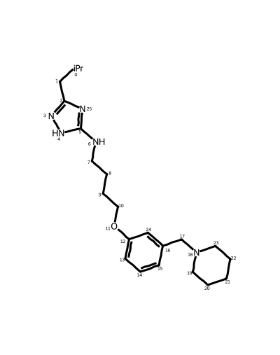 CC(C)Cc1n[nH]c(NCCCCOc2cccc(CN3CCCCC3)c2)n1